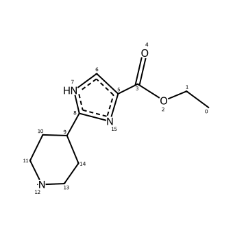 CCOC(=O)c1c[nH]c(C2CC[N]CC2)n1